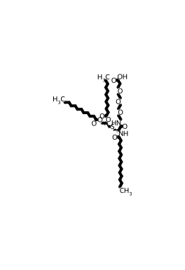 CCCCCCCCCCCCCCCC(=O)N[C@@H](CSC[C@@H](COC(=O)CCCCCCCCCCC)OC(=O)CCCCCCCCCCC)C(=O)NCCOCCOCCOCCC(=O)O